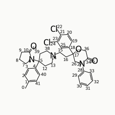 Cc1ccc(C2(N3CCCC3=O)CCN(CCC3(c4ccc(Cl)c(Cl)c4)CN(c4ccccc4)C(=O)CO3)CC2)cc1